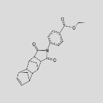 CCOC(=O)c1ccc(N2C(=O)C3C4CC(C3C2=O)C2C3C=CC(C3)C42)cc1